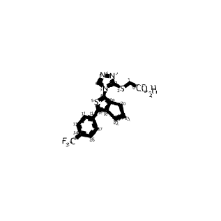 O=C(O)CSc1nncn1-c1sc(-c2ccc(C(F)(F)F)cc2)c2c1CCC2